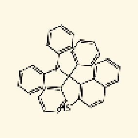 Sc1ccc2ccccc2c1C(c1ccccc1)(c1ccccc1)P(c1ccccc1)c1ccccc1